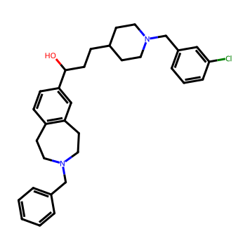 OC(CCC1CCN(Cc2cccc(Cl)c2)CC1)c1ccc2c(c1)CCN(Cc1ccccc1)CC2